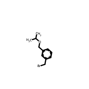 CC(C)OCc1cccc(CBr)c1